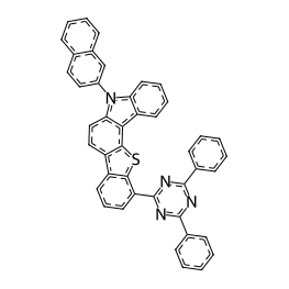 c1ccc(-c2nc(-c3ccccc3)nc(-c3cccc4c3sc3c4ccc4c3c3ccccc3n4-c3ccc4ccccc4c3)n2)cc1